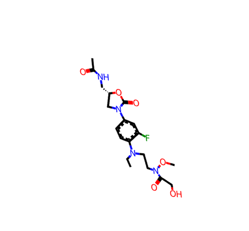 CCN(CCN(OC)C(=O)CO)c1ccc(N2C[C@H](CNC(C)=O)OC2=O)cc1F